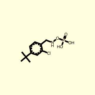 CC(C)(C)c1ccc(CNOP(=O)(O)O)c(Cl)c1